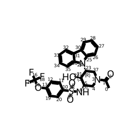 CC(=O)N1C[C@H](NS(=O)(=O)c2ccc(OC(F)(F)F)cc2)[C@@H](O)[C@H](n2c3ccccc3c3ccccc32)C1